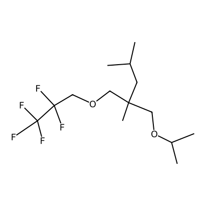 CC(C)CC(C)(COCC(F)(F)C(F)(F)F)COC(C)C